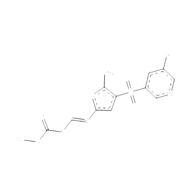 CSc1sc(/N=C/NC(=O)OC(C)(C)C)cc1S(=O)(=O)c1cncc(Br)c1